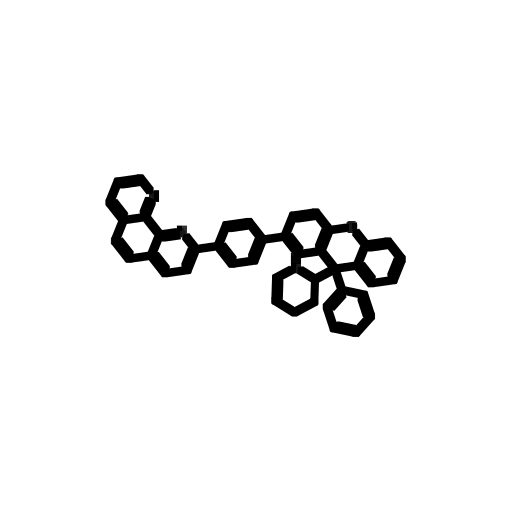 C1=CNC(C2(c3ccccc3)c3ccccc3Oc3ccc(-c4ccc(-c5ccc6ccc7cccnc7c6n5)cc4)cc32)CC1